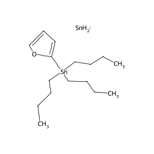 CCC[CH2][Sn]([CH2]CCC)([CH2]CCC)[c]1ccco1.[SnH2]